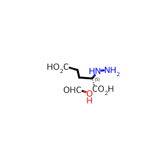 NN[C@@H](CCC(=O)O)C(=O)O.O=CO